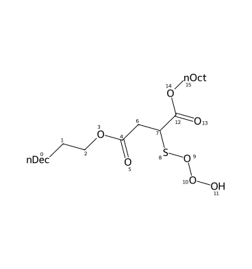 CCCCCCCCCCCCOC(=O)CC(SOOO)C(=O)OCCCCCCCC